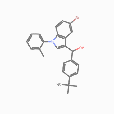 Cc1ccccc1-n1cc(C(O)c2ccc(C(C)(C)C#N)cc2)c2cc(Br)ccc21